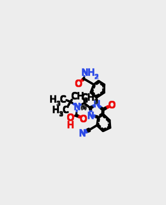 C[C@@H](c1nc2c(C#N)cccc2c(=O)n1-c1cccc(C(N)=O)c1)N(C(=O)O)C(C)(C)C